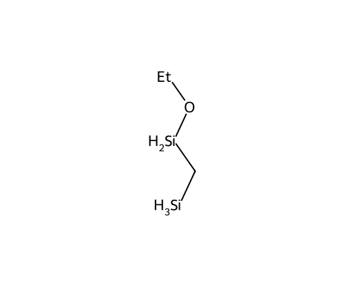 CCO[SiH2]C[SiH3]